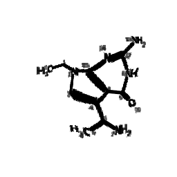 CCn1cc(C(C)N)c2c(=O)[nH]c(N)nc21